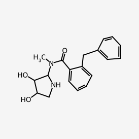 CN(C(=O)c1ccccc1Cc1ccccc1)C1NCC(O)C1O